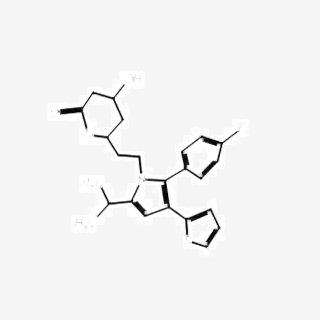 CC(C)c1cc(-c2cccs2)c(-c2ccc(F)cc2)n1CCC1CC(O)CC(=O)O1